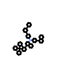 c1ccc(-c2cccc(-c3ccc(N(c4ccc(-c5cccc6ccccc56)cc4)c4ccc(-c5cccc6c5-c5ccccc5C6(c5ccccc5)c5ccccc5)c5ccccc45)cc3)c2)cc1